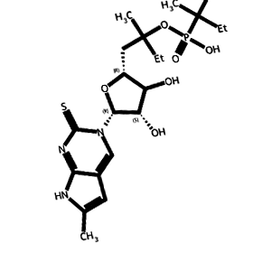 CCC(C)(C[C@H]1O[C@@H](n2cc3cc(C)[nH]c3nc2=S)[C@@H](O)C1O)OP(=O)(O)C(C)(O)CC